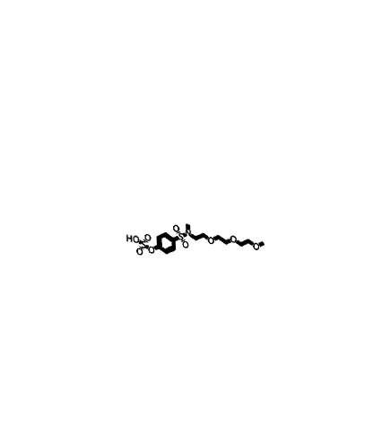 COCCOCCOCCN(C)S(=O)(=O)c1ccc(OS(=O)(=O)O)cc1